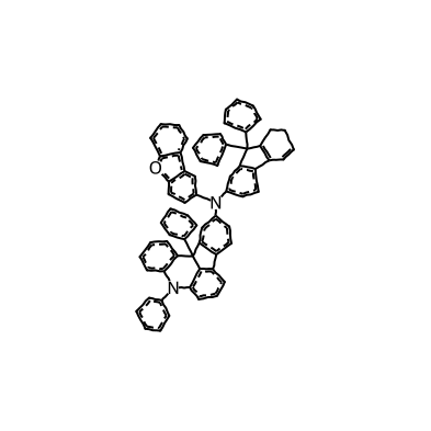 C1=CC2=C(CC1)C(c1ccccc1)(c1ccccc1)c1cc(N(c3ccc4c(c3)C3(c5ccccc5)c5ccccc5N(c5ccccc5)c5cccc-4c53)c3ccc4oc5ccccc5c4c3)ccc12